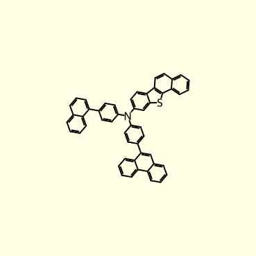 c1ccc2c(-c3ccc(N(c4ccc(-c5cc6ccccc6c6ccccc56)cc4)c4ccc5c(c4)sc4c6ccccc6ccc54)cc3)cccc2c1